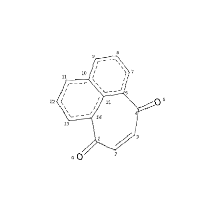 O=C1C=CC(=O)c2cccc3cccc1c23